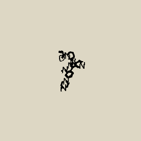 C=CC(=O)N1CCC[C@@H](n2nc(-c3ccc(N4CCN(C)CC4)cc3N(C)C)c3cnccc32)C1